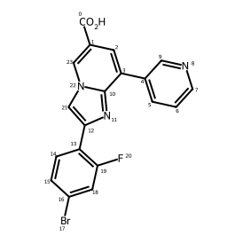 O=C(O)c1cc(-c2cccnc2)c2nc(-c3ccc(Br)cc3F)cn2c1